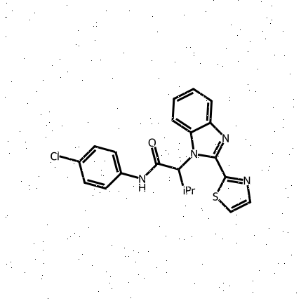 CC(C)C(C(=O)Nc1ccc(Cl)cc1)n1c(-c2nccs2)nc2ccccc21